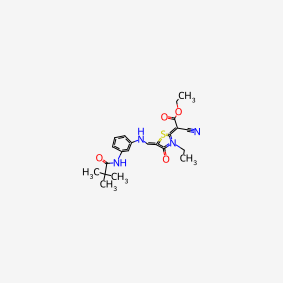 CCOC(=O)C(C#N)=c1sc(=CNc2cccc(NC(=O)C(C)(C)C)c2)c(=O)n1CC